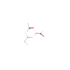 CCC(NC(C)=O)SCC(=O)O